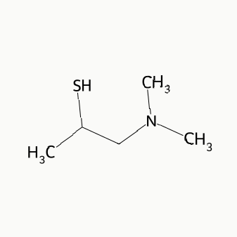 CC(S)CN(C)C